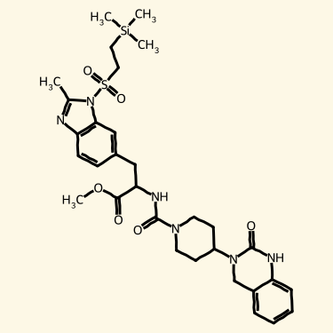 COC(=O)C(Cc1ccc2nc(C)n(S(=O)(=O)CC[Si](C)(C)C)c2c1)NC(=O)N1CCC(N2Cc3ccccc3NC2=O)CC1